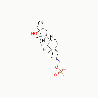 C[C@]12CC/C(=N\OS(C)(=O)=O)C=C1CC[C@@H]1[C@@H]2CC[C@@]2(C)[C@H]1CC[C@@]2(O)CC#N